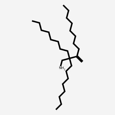 C=C(CCCCCCCC)C(CN)(CCCCCCCC)CCCCCCCC